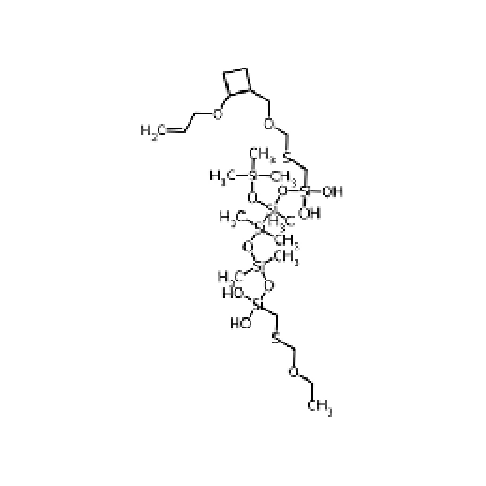 C=CCOC1CCC1COCSC[Si](O)(O)O[Si](C)(O[Si](C)(C)C)[Si](C)(C)O[Si](C)(C)O[Si](O)(O)CSCOCC